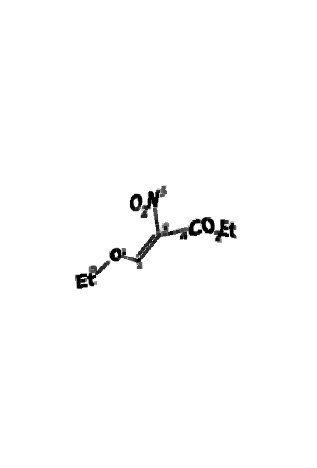 CCOC=C(C(=O)OCC)[N+](=O)[O-]